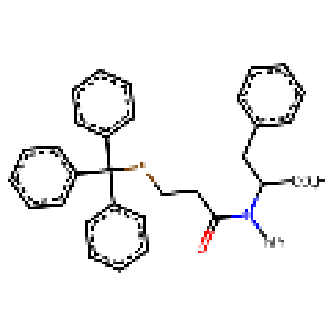 CCCN(C(=O)CCSC(c1ccccc1)(c1ccccc1)c1ccccc1)C(Cc1ccccc1)C(=O)O